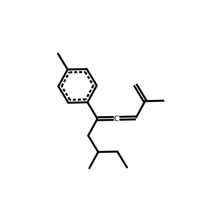 C=C(C)C=C=C(CC(C)CC)c1ccc(C)cc1